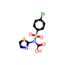 O=C(O)N(c1nccs1)S(=O)(=O)c1ccc(Br)cc1